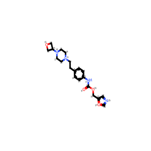 O=C(Nc1ccc(CCN2CCN(C3COC3)CC2)cc1)OCc1cnco1